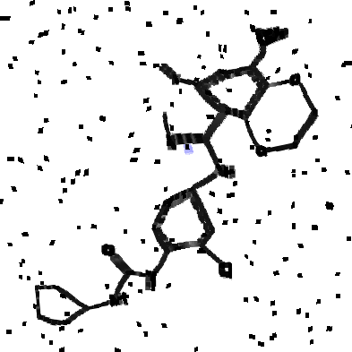 C=Nc1cc(OC)c2c(c1/C(=N\C)Nc1ccc(NC(=O)NC3CCCC3)c(Cl)c1)OCCO2